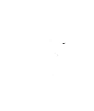 C[C@H](Oc1cc[c]cc1)N1CCCCC1